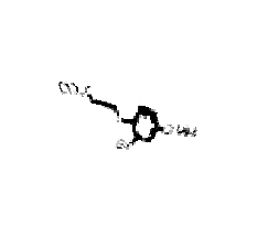 CCOC(=O)/C=C/Oc1ccc(OC)cc1Br